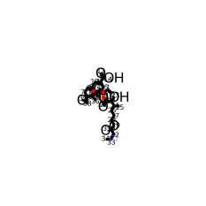 C=CC(=O)OC1CC2OC3C=C(C(=O)O)CCC3(COC(=O)C(O)C(C)CCCOC(=O)/C=C\C)C1(C)C21CO1